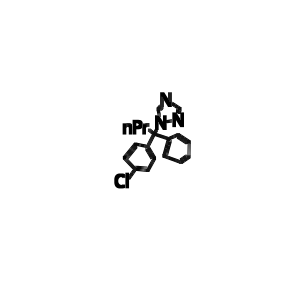 CCCC(c1ccccc1)(c1ccc(Cl)cc1)n1cncn1